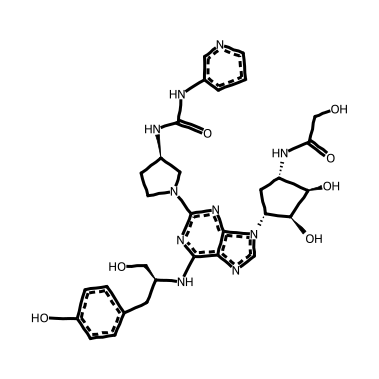 O=C(CO)N[C@H]1C[C@@H](n2cnc3c(N[C@H](CO)Cc4ccc(O)cc4)nc(N4CC[C@@H](NC(=O)Nc5cccnc5)C4)nc32)[C@H](O)[C@@H]1O